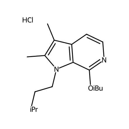 Cc1c(C)n(CCC(C)C)c2c(OCC(C)C)nccc12.Cl